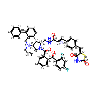 CC(C)CN(Cc1ccccc1-c1ccccc1)[C@@H]1C[C@@H](CNC(=O)/C=C/c2ccc(C=C3SC(=O)NC3=O)cc2)N(C(=O)c2ccccc2C(=O)c2ccc(F)cc2F)C1